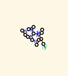 FC(F)(F)c1ccc(-c2ccc(-c3nc(-c4cc(-n5c6ccccc6c6ccc(-n7c8ccccc8c8ccccc87)cc65)cc(-n5c6ccccc6c6ccc(-n7c8ccccc8c8ccccc87)cc65)c4)nc4c3ccc3ccccc34)cc2)cc1